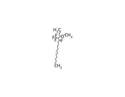 CCCCCCCCCCCCC(F)C(C(CCC)OCC)C(F)(F)F